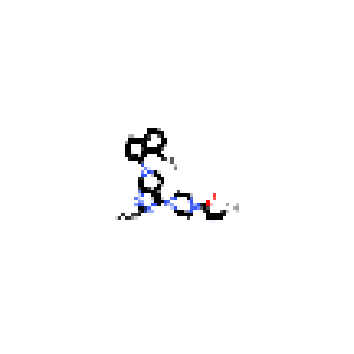 COc1nc2c(c(N3CCN(C(=O)/C=C\C#N)CC3)n1)CCN(c1cccc3cccc(C)c13)C2